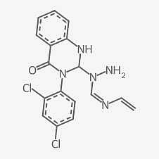 C=C/N=C\N(N)C1Nc2ccccc2C(=O)N1c1ccc(Cl)cc1Cl